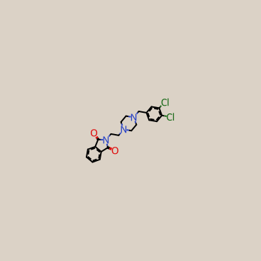 O=C1c2ccccc2C(=O)N1CCN1CCN(Cc2ccc(Cl)c(Cl)c2)CC1